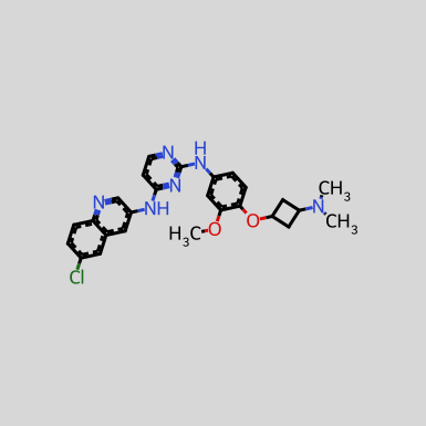 COc1cc(Nc2nccc(Nc3cnc4ccc(Cl)cc4c3)n2)ccc1OC1CC(N(C)C)C1